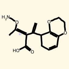 C=C(/C(C(=O)O)=C(/C)ON)C1CC=CC2=C1OCCO2